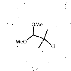 COC(OC)C(C)(C)Cl